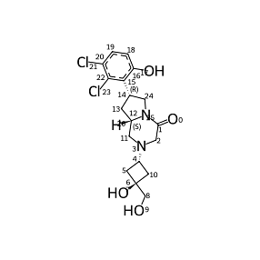 O=C1CN([C@H]2C[C@@](O)(CO)C2)C[C@@H]2C[C@H](c3c(O)ccc(Cl)c3Cl)CN12